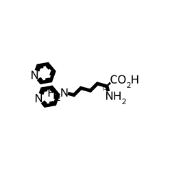 NCCCC[C@H](N)C(=O)O.c1ccncc1.c1ccncc1